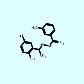 C=C(NPC(C)c1cc(Cl)ccc1O)c1cccc(C)c1